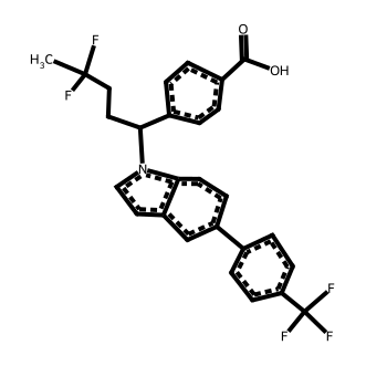 CC(F)(F)CCC(c1ccc(C(=O)O)cc1)n1ccc2cc(-c3ccc(C(F)(F)F)cc3)ccc21